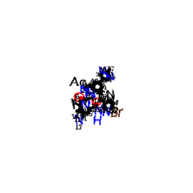 CC(=O)c1nn(CC(=O)N2[C@H]3CC3(CN(C)C)C[C@H]2C(=O)Nc2nc(Br)ccc2C)c2c(C#N)cc(-c3cnc(C)nc3)cc12